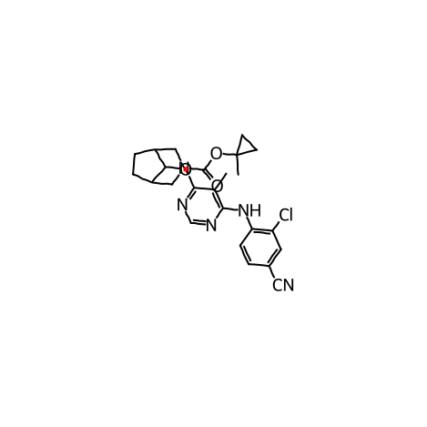 Cc1c(Nc2ccc(C#N)cc2Cl)ncnc1OC1C2CCC1CN(C(=O)OC1(C)CC1)C2